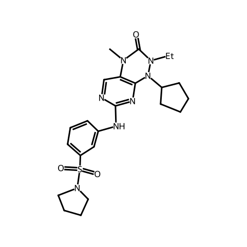 CCN1C(=O)N(C)c2cnc(Nc3cccc(S(=O)(=O)N4CCCC4)c3)nc2N1C1CCCC1